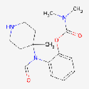 CN(C)C(=O)Oc1ccccc1N(C=O)C1(C)CCNCC1